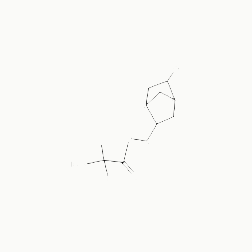 O=C(OCC1CC2CC1CC2O)C(F)(F)S(=O)(=O)O